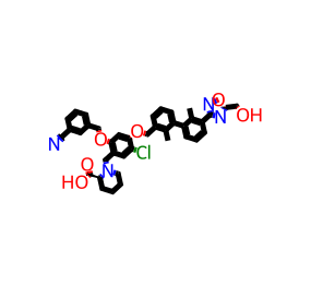 Cc1c(COc2cc(OCc3cccc(C#N)c3)c(CN3CCCC[C@H]3C(=O)O)cc2Cl)cccc1-c1cccc(-c2noc(CO)n2)c1C